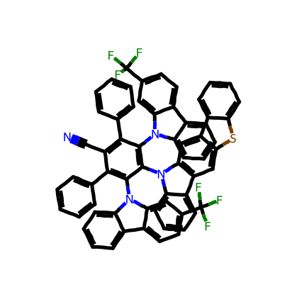 N#Cc1c(-c2ccccc2)c(-n2c3ccccc3c3ccc(C(F)(F)F)cc32)c(-n2c3ccccc3c3cc4sc5ccccc5c4cc32)c(-n2c3ccccc3c3ccc(C(F)(F)F)cc32)c1-c1ccccc1